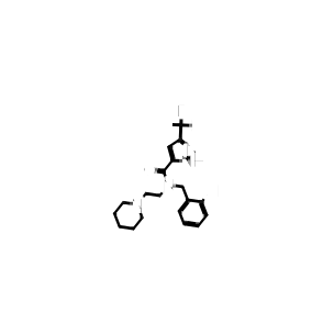 O=C(c1cc(C(F)(F)F)n[nH]1)N(CCN1CCCCC1)Cc1ccccc1Cl